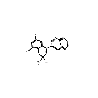 CC1(C)Cc2c(F)cc(F)cc2C(c2cc3ccccc3nn2)=N1